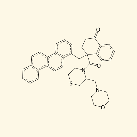 O=C1CCC(Cc2cccc3c2ccc2c4ccccc4ccc32)(C(=O)N2CCSCC2CN2CCOCC2)c2ccccc21